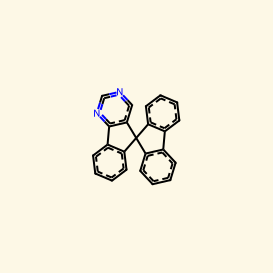 c1ccc2c(c1)-c1ccccc1C21c2ccccc2-c2ncncc21